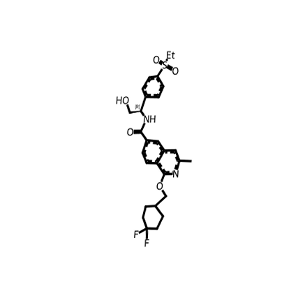 CCS(=O)(=O)c1ccc([C@H](CO)NC(=O)c2ccc3c(OCC4CCC(F)(F)CC4)nc(C)cc3c2)cc1